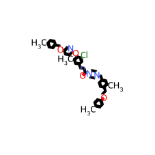 Cc1ccc(COc2ccc(Oc3c(C)cc(/C=C/C(=O)N4CCN(Cc5ccc(CCOc6ccc(C)cc6)c(C)c5)CC4)cc3Cl)nc2)cc1